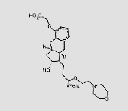 CCCCC[C@@H](CC[C@@H]1[C@H]2Cc3cccc(OCC(=O)O)c3C[C@H]2C[C@H]1O)OCCN1CCOCC1